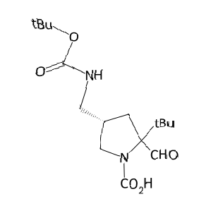 CC(C)(C)OC(=O)NC[C@H]1CN(C(=O)O)C(C=O)(C(C)(C)C)C1